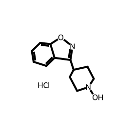 Cl.ON1CCC(c2noc3ccccc23)CC1